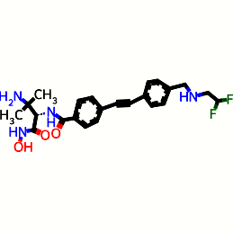 CC(C)(N)[C@H](NC(=O)c1ccc(C#Cc2ccc(CNCC(F)F)cc2)cc1)C(=O)NO